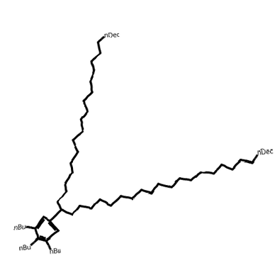 CCCCCCCCCCCCCCCCCCCCCCCCCCCCC[C](CCCCCCCCCCCCCCCCCCCCCCCCCCC)c1cc(CCCC)c(CCCC)c(CCCC)c1